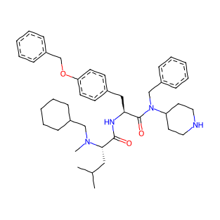 CC(C)C[C@@H](C(=O)N[C@@H](Cc1ccc(OCc2ccccc2)cc1)C(=O)N(Cc1ccccc1)C1CCNCC1)N(C)CC1CCCCC1